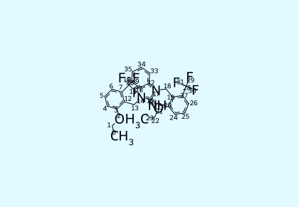 CCOc1cccc(C(F)(F)F)c1Cn1c(=N)n(Cc2c(OCC)cccc2C(F)(F)F)c2ccccc21